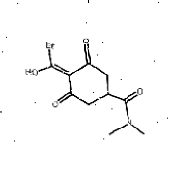 CCC(O)=C1C(=O)CC(C(=O)N(C)C)CC1=O